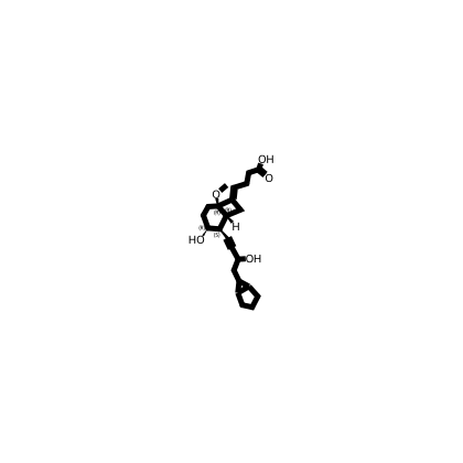 CO[C@]12CC[C@@H](O)[C@H](C#CC(O)CC3C4CCCC43)[C@H]1CC2=CCCC(=O)O